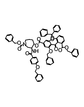 O=C(NC1CN(C(=O)OCc2ccccc2)CCCC1OC(=O)c1cc(OCc2ccccc2)c(C(=O)c2c(OCc3ccccc3)cccc2C(=O)OCc2ccccc2)c(OCc2ccccc2)c1)c1ccc(OCc2ccccc2)cc1